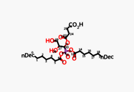 CCCCCCCCCCCCCCCC(=O)OP(=O)(OC(=O)CCCCCCCCCCCCCCC)C(OC(=O)CCC(=O)O)C(O)CO